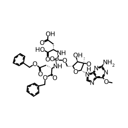 COc1nc(N)nc2c1ncn2[C@@H]1O[C@H](COP(=O)(N[C@@H](CC(=O)O)C(=O)O)N[C@@H](CC(=O)OCc2ccccc2)C(=O)OCc2ccccc2)[C@@H](O)[C@@]1(C)O